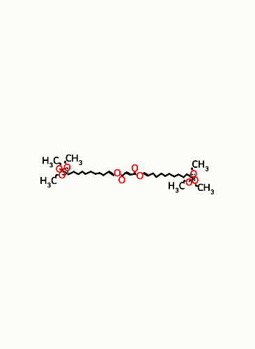 CCO[Si](CCCCCCCCCC=COC(=O)C=CC(=O)OC=CCCCCCCCCC[Si](OCC)(OCC)OCC)(OCC)OCC